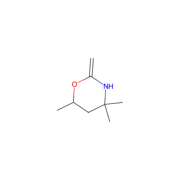 C=C1NC(C)(C)CC(C)O1